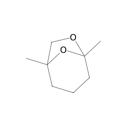 CC12CCCC(C)(OC1)O2